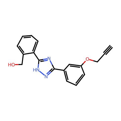 C#CCOc1cccc(-c2n[nH]c(-c3ccccc3CO)n2)c1